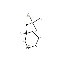 CC1(O[Si](C)(C)C(C)(C)C)CCCNC1